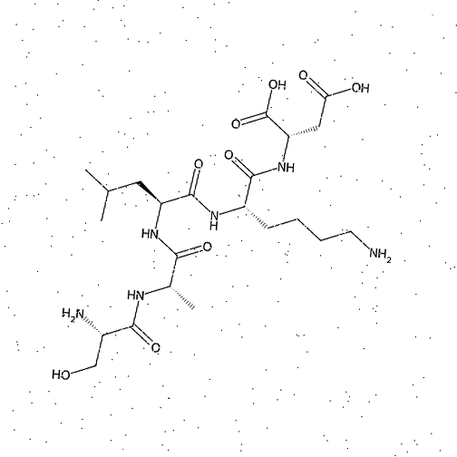 CC(C)C[C@H](NC(=O)[C@H](C)NC(=O)[C@@H](N)CO)C(=O)N[C@@H](CCCCN)C(=O)N[C@@H](CC(=O)O)C(=O)O